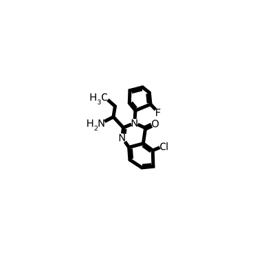 CCC(N)c1nc2cccc(Cl)c2c(=O)n1-c1ccccc1F